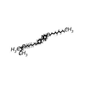 CCCCCCCCCCOc1cnc(-c2ccc(CCCCCC[CH]OC(CC)CCC)cc2)nc1